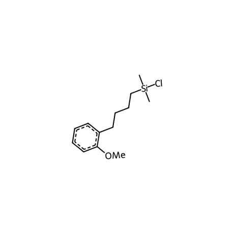 COc1ccccc1CCCC[Si](C)(C)Cl